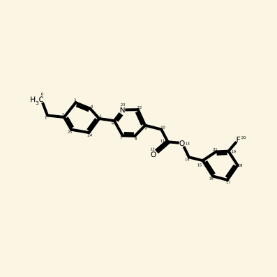 CCc1ccc(-c2ccc(CC(=O)OCc3cccc(F)c3)cn2)cc1